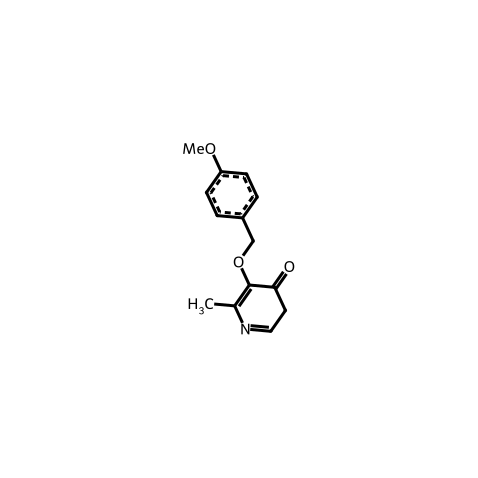 COc1ccc(COC2=C(C)N=CCC2=O)cc1